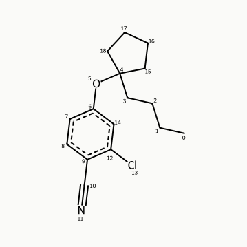 CCCCC1(Oc2ccc(C#N)c(Cl)c2)CCCC1